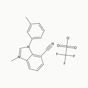 Cc1cccc(-n2c[n+](C)c3cccc(C#N)c32)c1.O=S(=O)([O-])C(F)(F)F